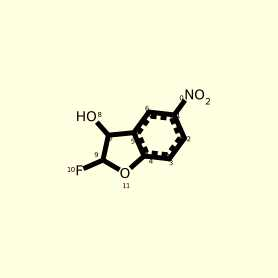 O=[N+]([O-])c1ccc2c(c1)C(O)C(F)O2